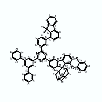 CC1(C)c2ccccc2-c2cccc(-c3cccc(-c4nc(-c5cc(-c6ccccc6)cc(-c6ccccc6)c5)nc(-c5ccc6c(c5)-c5ccc7c(c5C65C6CC8CC(C6)CC5C8)Oc5ccccc5S7)n4)c3)c21